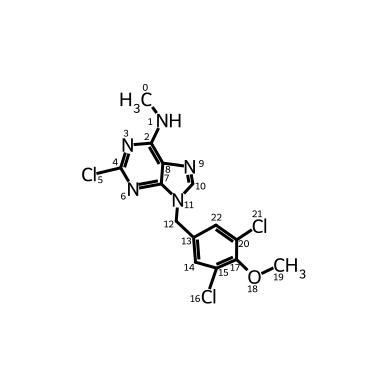 CNc1nc(Cl)nc2c1ncn2Cc1cc(Cl)c(OC)c(Cl)c1